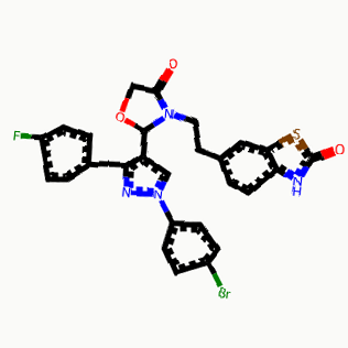 O=C1COC(c2cn(-c3ccc(Br)cc3)nc2-c2ccc(F)cc2)N1CCc1ccc2[nH]c(=O)sc2c1